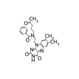 CC(=O)CCCN(CCn1c2nc(=O)[nH]c(=O)c-2nc2cc(C)c(C)cc21)C(=O)c1ccccc1